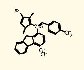 CC1=[C](/[Zr+2](=[CH]/c2ccc(C(F)(F)F)cc2)[c]2cccc3c2Cc2ccccc2-3)C(C)C=C1C(C)C.[Cl-].[Cl-]